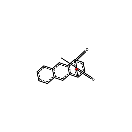 O=c1oc(=O)c2ccc1c1cc3ccccc3cc21